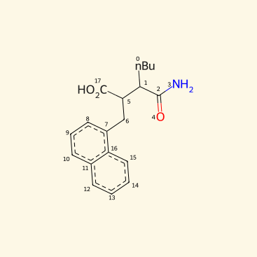 CCCCC(C(N)=O)C(Cc1cccc2ccccc12)C(=O)O